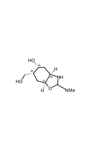 CNC1N[C@@H]2C[C@@H](O)[C@@H](CO)C[C@@H]2O1